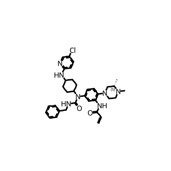 C=CC(=O)Nc1cc(N(C(=O)NCc2ccccc2)C2CCC(Nc3ccc(Cl)cn3)CC2)ccc1N1CCN(C)[C@@H](C)C1